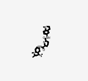 Cc1cc(N(C)C)c2cc(NC(=O)c3cccc(C(=O)Nc4ccc5c(ccc[n+]5C)c4)n3)ccc2[n+]1C